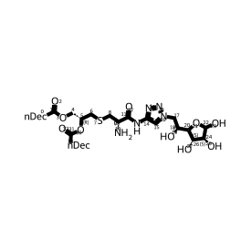 CCCCCCCCCCC(=O)OC[C@H](CSC[C@@H](N)C(=O)Nc1cn(C[C@H](O)C2OC(O)[C@@H](O)[C@@H]2O)nn1)OC(=O)CCCCCCCCCC